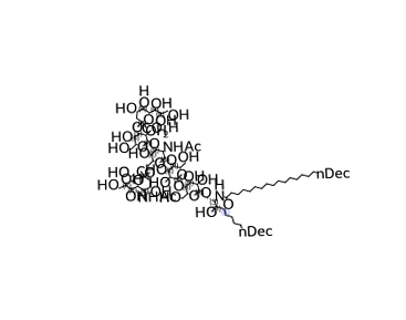 CCCCCCCCCCCCC/C=C/[C@@H](O)[C@H](CO[C@@H]1OC(CO)[C@@H](O[C@@H]2OC(CO)[C@H](O[C@@H]3OC(CO[C@]4(C(=O)O)CC(O)[C@@H](NC(C)=O)C([C@H](O)[C@H](O)CO)O4)[C@H](O)[C@H](O[C@@H]4OC(CO)[C@H](O)[C@H](O[C@]5(C(=O)O)CC(O)[C@@H](O)C([C@H](O)[C@H](O)CO)O5)C4O)C3NC(C)=O)[C@H](O)C2O)[C@H](O)C1O)NC(=O)CCCCCCCCCCCCCCCCCCCCCCCCC